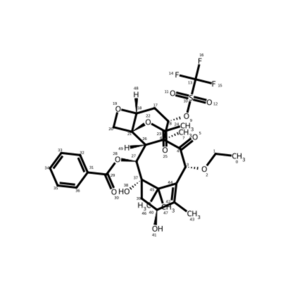 CCO[C@H]1C(=O)[C@]2(C)[C@@H](OS(=O)(=O)C(F)(F)F)C[C@H]3OC[C@@]3(OC(C)=O)[C@H]2[C@H](OC(=O)c2ccccc2)[C@]2(O)C[C@H](O)C(C)=C1C2(C)C